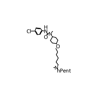 CCCCCN(C)CCCCCCOC1CCC(N(C)C(=O)Nc2ccc(Cl)cc2)CC1